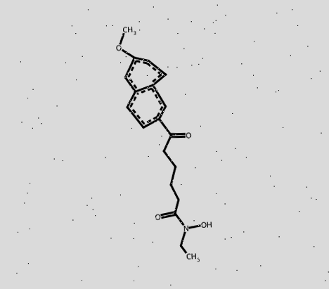 CCN(O)C(=O)CCCCC(=O)c1ccc2cc(OC)ccc2c1